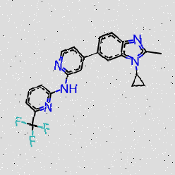 Cc1nc2ccc(-c3ccnc(Nc4cccc(C(F)(F)F)n4)c3)cc2n1C1CC1